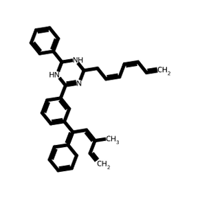 C=C/C=C\C=C/CC1N=C(c2cccc(C(/C=C(/C)C=C)=C3\C=CC=CC3)c2)NC(c2ccccc2)N1